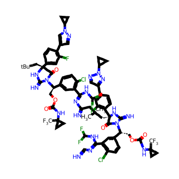 CC(C)(C)C[C@]1(c2ccc(-c3cnn(C4CC4)c3)c(F)c2)NC(=N)N([C@H](COC(=O)NC2(C(F)(F)F)CC2)c2ccc(Cl)c(/C(=N/C(=N)CC(C)(C)C[C@]3(c4ccc(-c5cnn(C6CC6)n5)cc4F)NC(=N)N([C@H](COC(=O)NC4(C(F)(F)F)CC4)c4ccc(Cl)c(/C(=N/C=N)NC(F)F)c4)C3=O)NC(F)F)c2)C1=O